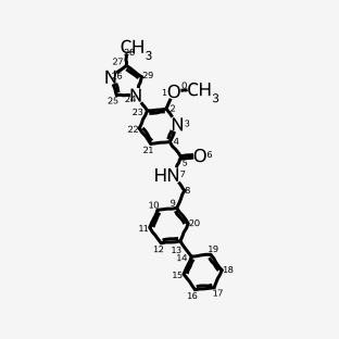 COc1nc(C(=O)NCc2cccc(-c3ccccc3)c2)ccc1-n1cnc(C)c1